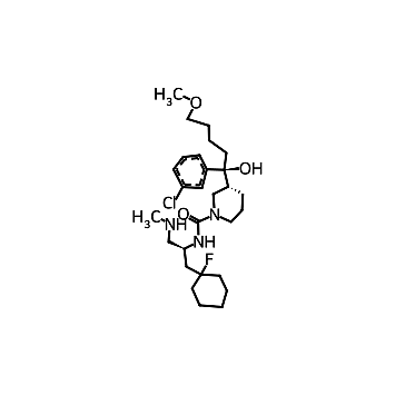 CNC[C@H](CC1(F)CCCCC1)NC(=O)N1CCC[C@@H]([C@@](O)(CCCCOC)c2cccc(Cl)c2)C1